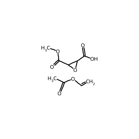 C=COC(C)=O.COC(=O)C1OC1C(=O)O